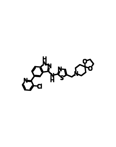 Clc1cccnc1-c1ccc2[nH]nc(Nc3ncc(CN4CCC5(CC4)OCCO5)s3)c2c1